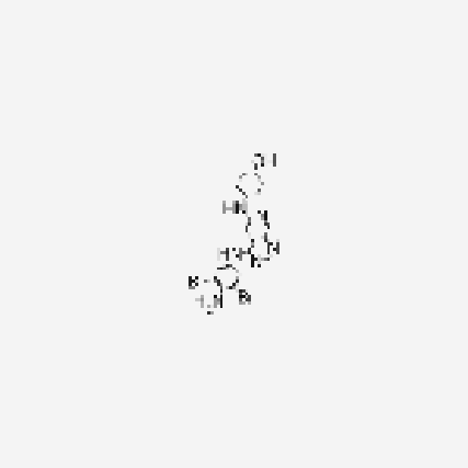 Nc1c(Br)cc(Nc2ncnc3cnc(N[C@H]4CC[C@H](O)CC4)cc23)cc1Br